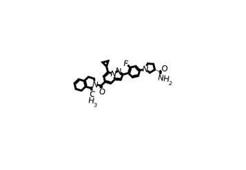 CC1C2=C(C=CCC2)CCN1C(=O)c1cc(C2CC2)n2nc(-c3ccc(N4CC[C@H](C(N)=O)C4)cc3F)cc2c1